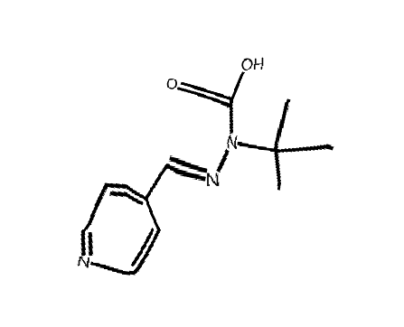 CC(C)(C)N(/N=C/c1ccncc1)C(=O)O